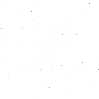 [O-][S+](Cc1ccccc1)c1ccccc1Cl